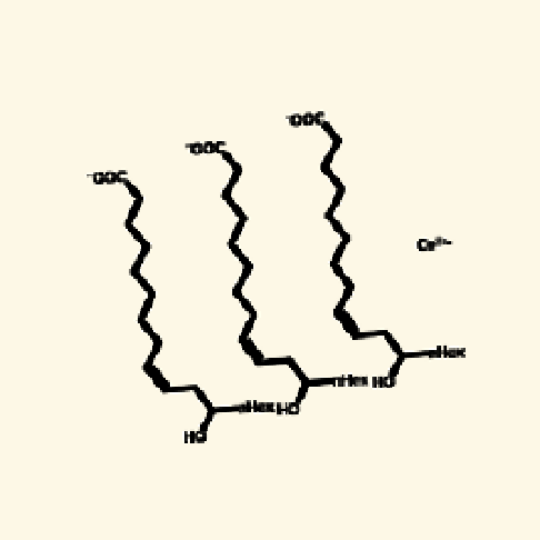 CCCCCCC(O)C/C=C\CCCCCCCC(=O)[O-].CCCCCCC(O)C/C=C\CCCCCCCC(=O)[O-].CCCCCCC(O)C/C=C\CCCCCCCC(=O)[O-].[Ce+3]